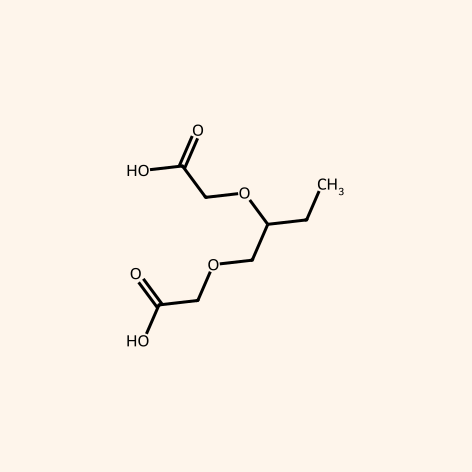 CCC(COCC(=O)O)OCC(=O)O